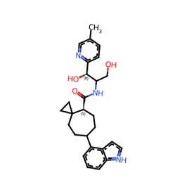 Cc1ccc([C@H](O)C(CO)NC(=O)[C@H]2CCC(c3cccc4[nH]ccc34)CCC23CC3)nc1